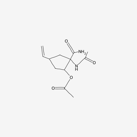 C=CC1CC(OC(C)=O)C(NC(C)=O)(C(N)=O)C1